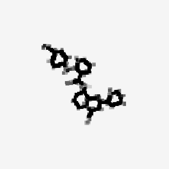 O=C(NC1CCCn2c1nc(-c1ccncn1)cc2=O)c1cccnc1Oc1ccc(Cl)cc1